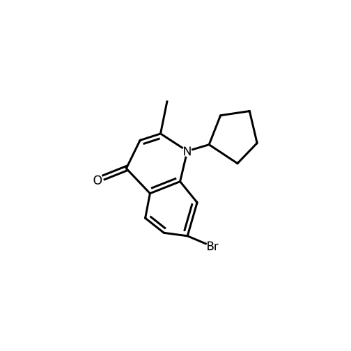 Cc1cc(=O)c2ccc(Br)cc2n1C1CCCC1